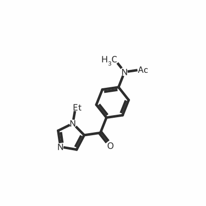 CCn1cncc1C(=O)c1ccc(N(C)C(C)=O)cc1